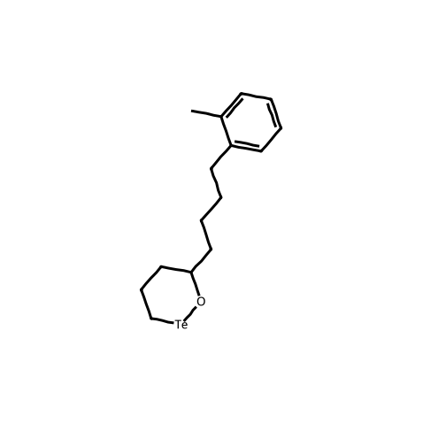 Cc1ccccc1CCCCC1CCC[Te]O1